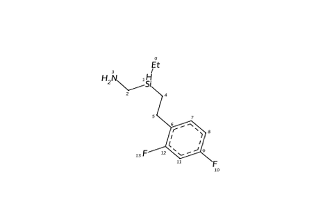 CC[SiH](CN)CCc1ccc(F)cc1F